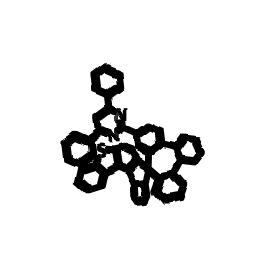 c1ccc(-c2cc(-c3ccccc3)nc(-c3ccc4c(c3)C3(c5ccccc5-c5ccccc5-4)c4ccccc4-c4c3ccc3sc5ccccc5c43)n2)cc1